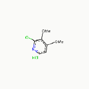 COc1ccnc(Cl)c1OC.Cl